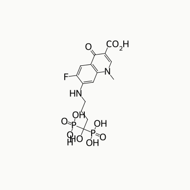 Cn1cc(C(=O)O)c(=O)c2cc(F)c(NCCCC(O)(P(=O)(O)O)P(=O)(O)O)cc21